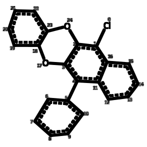 Clc1c2c(c(-c3ccccc3)c3ccccc13)Oc1ccccc1O2